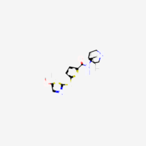 COc1cnc(Sc2ccc(C(=O)N[C@H]3CN4CCC3CC4)s2)s1